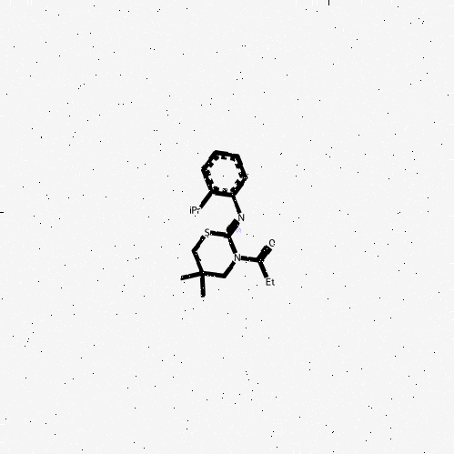 CCC(=O)N1CC(C)(C)CS/C1=N\c1ccccc1C(C)C